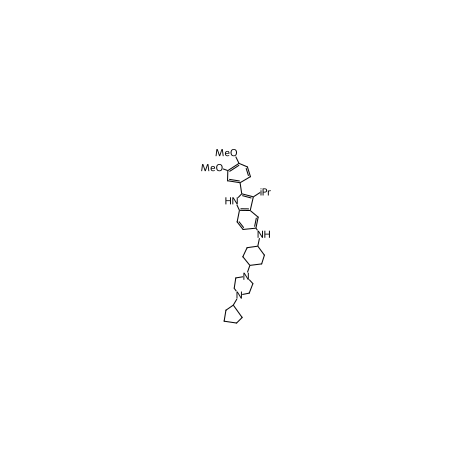 COc1ccc(-c2[nH]c3ccc(NC4CCC(N5CCN(C6CCCC6)CC5)CC4)cc3c2C(C)C)cc1OC